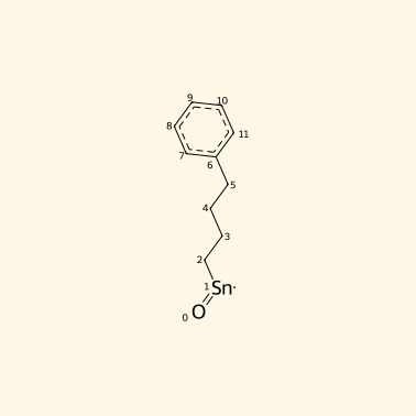 [O]=[Sn][CH2]CCCc1ccccc1